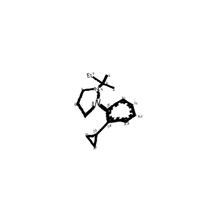 CCC(C)(C)N1CCCN1c1ccccc1C1CC1